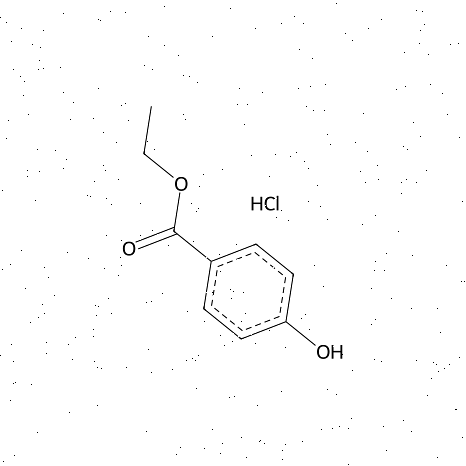 CCOC(=O)c1ccc(O)cc1.Cl